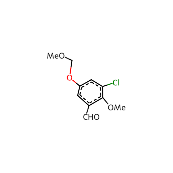 COCOc1cc(Cl)c(OC)c(C=O)c1